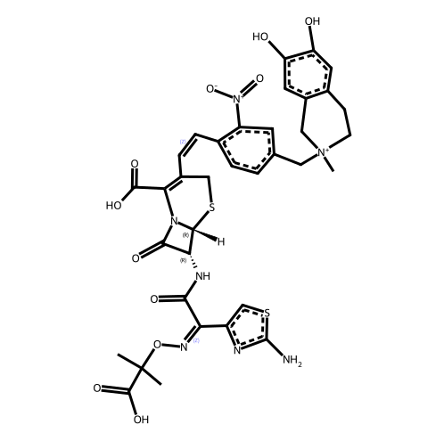 CC(C)(O/N=C(\C(=O)N[C@@H]1C(=O)N2C(C(=O)O)=C(/C=C\c3ccc(C[N+]4(C)CCc5cc(O)c(O)cc5C4)cc3[N+](=O)[O-])CS[C@H]12)c1csc(N)n1)C(=O)O